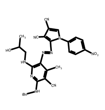 CCC(C)Nc1nc(NCC(C)O)c(N=Nc2c(C#N)c(C#N)cn2-c2ccc([N+](=O)[O-])cc2)c(C)c1C#N